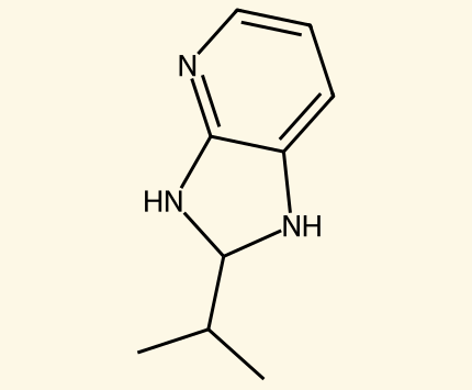 CC(C)C1Nc2cccnc2N1